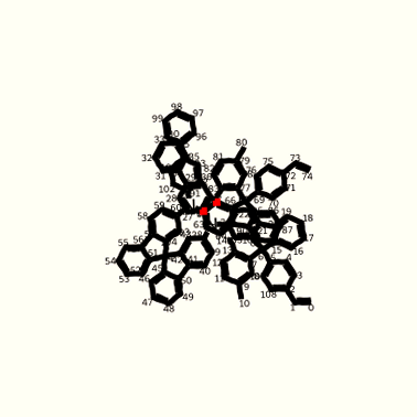 C=Cc1ccc(C2(c3cc(C)ccc3C)c3ccccc3-c3ccc(N(c4ccc(-c5ccccc5)cc4)c4ccc5c(c4)C4(c6ccccc6-5)c5ccccc5-c5ccc(N(c6ccc7c(c6)C(c6ccc(C=C)cc6)(c6cc(C)ccc6C)c6ccccc6-7)C6C=CC(c7ccccc7)=CC6)cc54)cc32)cc1